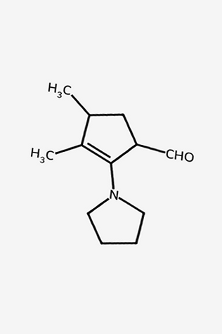 CC1=C(N2CCCC2)C(C=O)CC1C